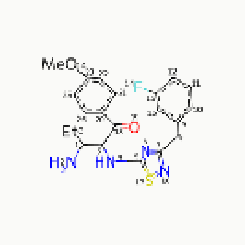 CCC(N)C(Nc1nc(Cc2cccc(F)c2)ns1)C(=O)c1ccc(OC)cc1